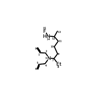 C=CCN(CC=C)C(CC)CCCC(C)NF